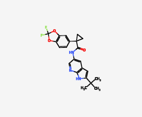 CC(C)(C)c1cc2cc(NC(=O)C3(c4ccc5c(c4)OC(F)(F)O5)CC3)cnc2[nH]1